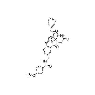 Cc1nc2ccc(CNC(=O)c3ccc(OC(F)(F)F)cc3)cc2c(=O)n1C1(C(=O)OCc2ccccc2)CCC(=O)NC1=O